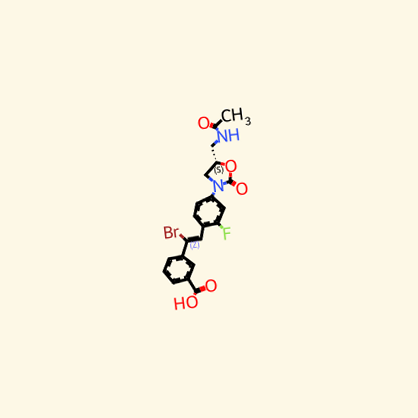 CC(=O)NC[C@H]1CN(c2ccc(/C=C(\Br)c3cccc(C(=O)O)c3)c(F)c2)C(=O)O1